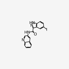 O=C(Nc1cnc2ccccc2c1)c1n[nH]c2ccc(I)cc12